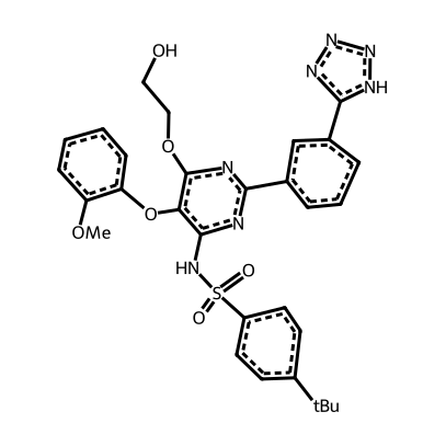 COc1ccccc1Oc1c(NS(=O)(=O)c2ccc(C(C)(C)C)cc2)nc(-c2cccc(-c3nnn[nH]3)c2)nc1OCCO